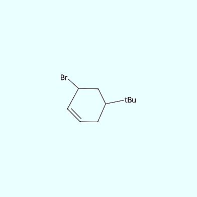 CC(C)(C)C1CC=CC(Br)C1